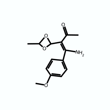 COc1ccc(/C(N)=C(/C(C)=O)C2OC(C)O2)cc1